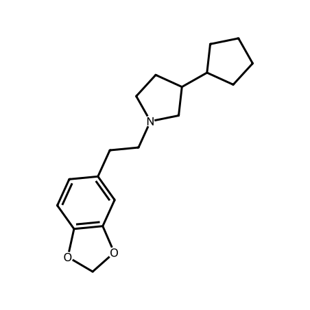 c1cc2c(cc1CCN1CCC(C3CCCC3)C1)OCO2